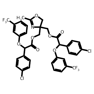 CC1=NC(COC(=O)C(Oc2cccc(C(F)(F)F)c2)c2ccc(Cl)cc2)(COC(=O)C(Oc2cccc(C(F)(F)F)c2)c2ccc(Cl)cc2)CO1